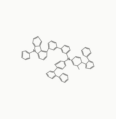 CC1C=C(N(c2ccc(-c3ccccc3-c3ccccc3)cc2)c2cccc(-c3cccc(-c4cccc5c4c4ccccc4n5-c4ccccc4)c3)c2)C=CC1c1ccccc1-c1ccccc1